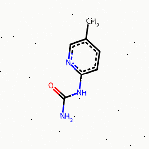 Cc1ccc(NC(N)=O)nc1